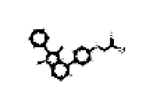 Cc1c(-c2ccccc2)n(C)c2cccc(-c3ccc(OCC(=O)O)cc3)c12